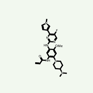 C=CC(=O)Nc1cc(Nc2ncc(F)c(-c3ccn(C)c3)n2)c(OC)cc1N1CCC(N(C)C)CC1